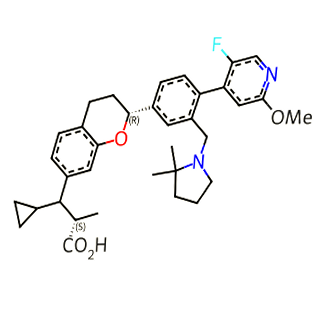 COc1cc(-c2ccc([C@H]3CCc4ccc(C(C5CC5)[C@H](C)C(=O)O)cc4O3)cc2CN2CCCC2(C)C)c(F)cn1